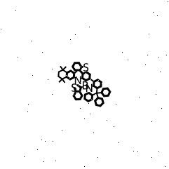 Cc1cc2c(cc1N1c3sc4ccccc4c3B3c4c(cc5sc6ccccc6c5c41)-c1cccc4c1N3c1ccccc1C4(c1ccccc1)c1ccccc1)C(C)(C)CCC2(C)C